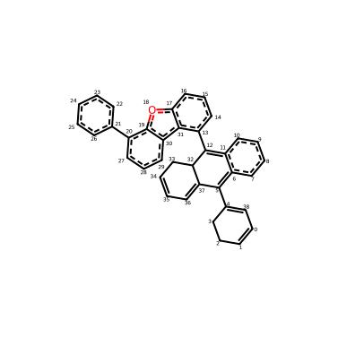 C1=CCCC(C2=c3ccccc3=C(c3cccc4oc5c(-c6ccccc6)cccc5c34)C3CC=CC=C23)=C1